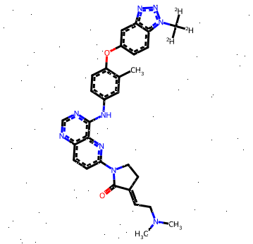 [2H]C([2H])([2H])n1nnc2cc(Oc3ccc(Nc4ncnc5ccc(N6CC/C(=C\CN(C)C)C6=O)nc45)cc3C)ccc21